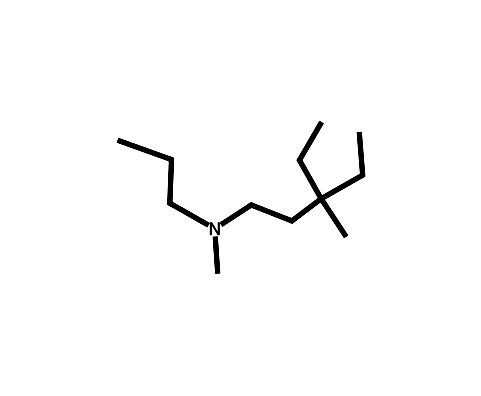 CCCN(C)CCC(C)(CC)CC